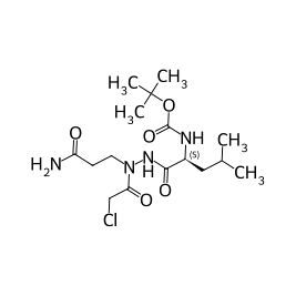 CC(C)C[C@H](NC(=O)OC(C)(C)C)C(=O)NN(CCC(N)=O)C(=O)CCl